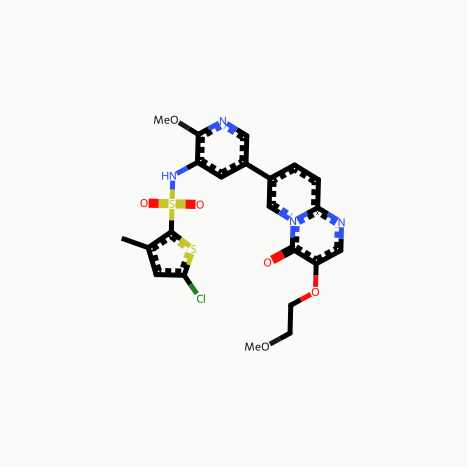 COCCOc1cnc2ccc(-c3cnc(OC)c(NS(=O)(=O)c4sc(Cl)cc4C)c3)cn2c1=O